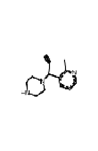 C#CC(c1cccnc1C)N1CCNCC1